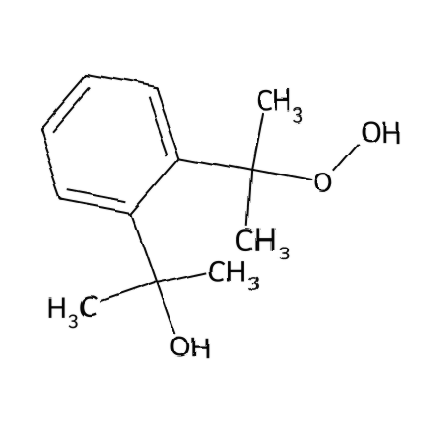 CC(C)(O)c1ccccc1C(C)(C)OO